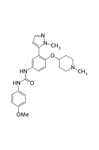 COc1ccc(NC(=O)Nc2ccc(OC3CCN(C)CC3)c(-c3ccnn3C)c2)cc1